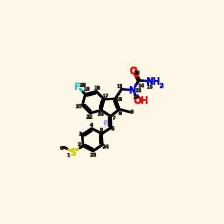 CSc1ccc(/C=C2/C(C)=C(CN(O)C(N)=O)c3cc(F)ccc32)cc1